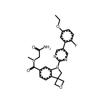 CCOc1ccc(F)c(-c2cnc(N3CC4(COC4)c4ccc(C(=O)N(C)CC(N)=O)cc43)nc2)c1